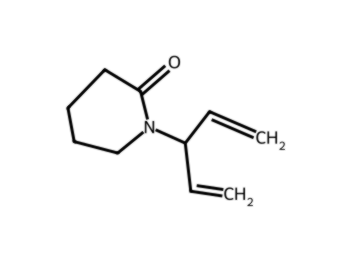 C=CC(C=C)N1CCCCC1=O